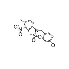 COc1ccc(CN2c3ccc(C)c([N+](=O)[O-])c3CS2(=O)=O)cc1